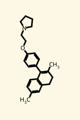 CC1=C(c2ccc(OCCN3CCCC3)cc2)c2ccc(C)cc2CC1